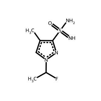 Cc1cn(C(C)F)nc1S(=N)(N)=O